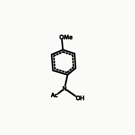 COc1ccc(N(O)C(C)=O)cc1